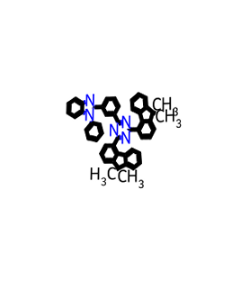 CC1(C)c2ccccc2-c2c(-c3nc(-c4cccc(-c5nc6ccccc6n5-c5ccccc5)c4)nc(-c4cccc5c4-c4ccccc4C5(C)C)n3)cccc21